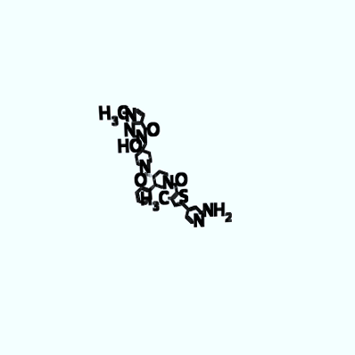 Cc1cc(-c2ccnc(N)c2)sc1C(=O)N1CC[C@@H](C(=O)N2CCC(O)(Cn3cnc4c(ccn4C)c3=O)CC2)[C@H](c2ccccc2)C1